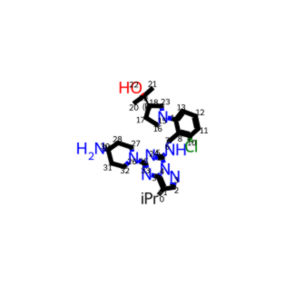 CC(C)c1cnn2c(NCc3c(Cl)cccc3N3CC[C@@H](C(C)(C)O)C3)nc(N3CCC(N)CC3)nc12